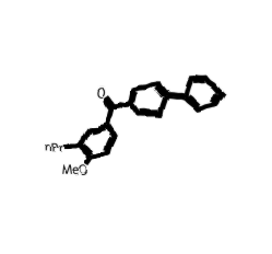 CCCc1cc(C(=O)c2ccc(-c3ccccc3)cc2)ccc1OC